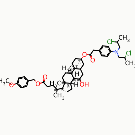 COc1ccc(COC(=O)CC[C@@H](C)[C@H]2CC[C@H]3[C@@H]4[C@H](O)CC5C[C@H](OC(=O)Cc6ccc(N(CC(C)Cl)CC(C)Cl)cc6)CC[C@]5(C)[C@H]4CC[C@]23C)cc1